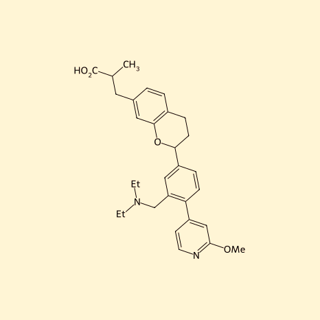 CCN(CC)Cc1cc(C2CCc3ccc(CC(C)C(=O)O)cc3O2)ccc1-c1ccnc(OC)c1